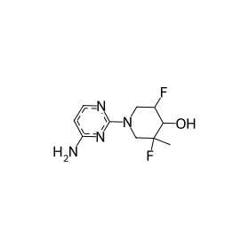 CC1(F)CN(c2nccc(N)n2)CC(F)C1O